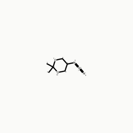 CC1(C)OCC(N=[N+]=[N-])CO1